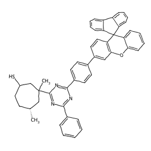 C[C@@H]1CCC(S)CC(C)(c2nc(-c3ccccc3)nc(-c3ccc(-c4ccc5c(c4)Oc4ccccc4C54c5ccccc5-c5ccccc54)cc3)n2)C1